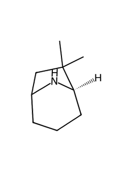 CC1(C)CC2CCC[C@H]1N2